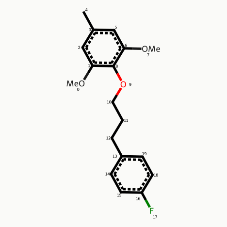 COc1cc(C)cc(OC)c1OCCCc1ccc(F)cc1